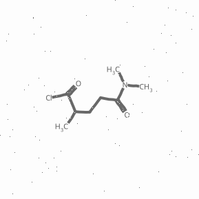 CC(CCC(=O)N(C)C)C(=O)Cl